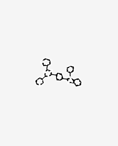 c1ccc(-n2c(-c3ccc(-c4nc(-c5cccnc5)nc(-c5cccnc5)n4)cc3)nc3ccccc32)cc1